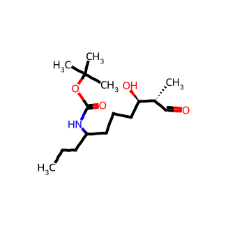 CCCC(CCC[C@@H](O)[C@H](C)C=O)NC(=O)OC(C)(C)C